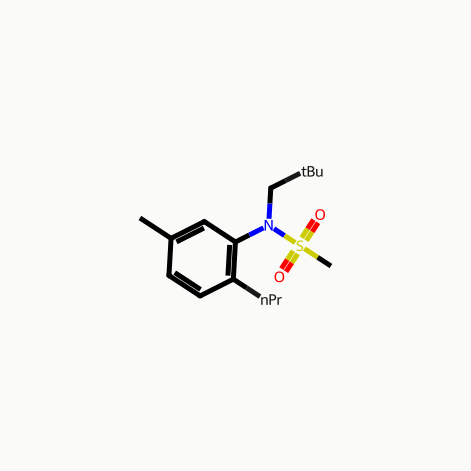 CCCc1ccc(C)cc1N(CC(C)(C)C)S(C)(=O)=O